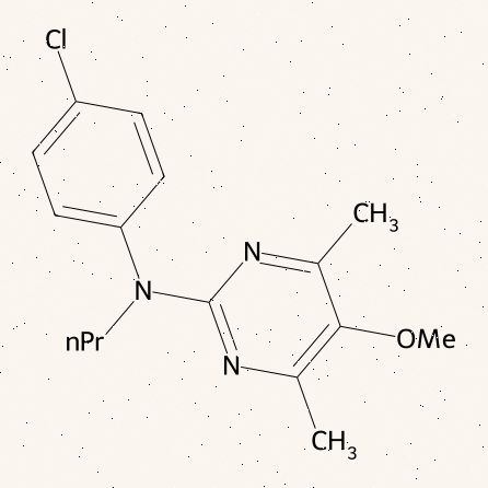 CCCN(c1ccc(Cl)cc1)c1nc(C)c(OC)c(C)n1